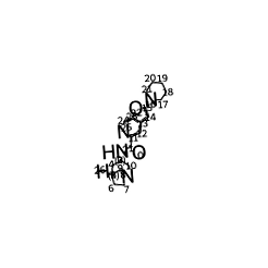 O=C(N[C@@H]1C[C@H]2CCN(C2)C1)c1cc2cc(N3CCCCC3)oc2cn1